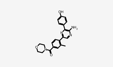 Cc1cc(C(=O)N2CCOCC2)ccc1-c1cnc(N)c(-c2ccc(O)cc2)n1